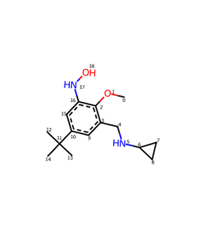 COc1c(CNC2CC2)cc(C(C)(C)C)cc1NO